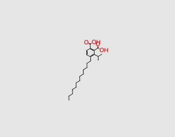 CCCCCCCCCCCCCc1ccc(C(=O)O)c(C(=O)O)c1C(C)C